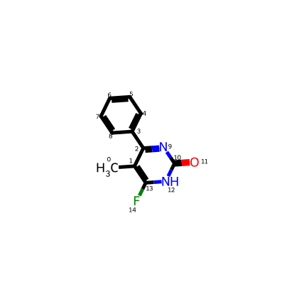 Cc1c(-c2ccccc2)nc(=O)[nH]c1F